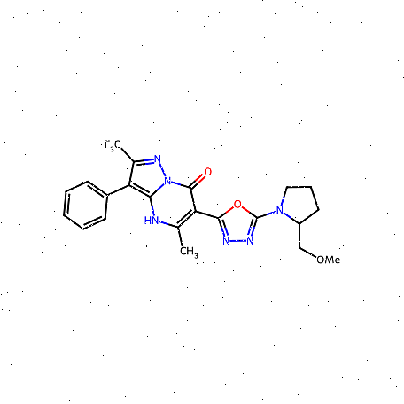 COCC1CCCN1c1nnc(-c2c(C)[nH]c3c(-c4ccccc4)c(C(F)(F)F)nn3c2=O)o1